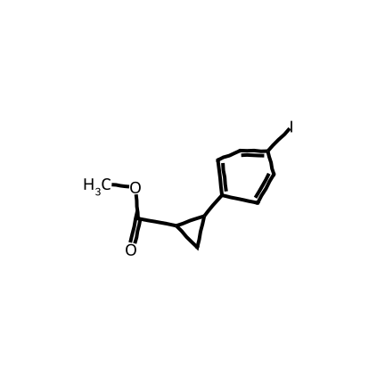 COC(=O)C1CC1c1ccc(I)cc1